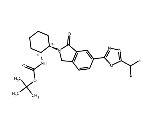 CC(C)(C)OC(=O)N[C@@H]1CCCC[C@H]1N1Cc2ccc(-c3nnc(C(F)F)o3)cc2C1=O